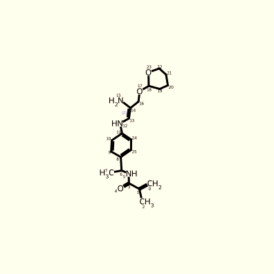 C=C(C)C(=O)NC(C)c1ccc(N/C=C(\N)COC2CCCCO2)cc1